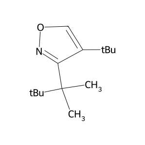 CC(C)(C)c1conc1C(C)(C)C(C)(C)C